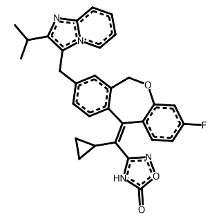 CC(C)c1nc2ccccn2c1Cc1ccc2c(c1)COc1cc(F)ccc1C2=C(c1noc(=O)[nH]1)C1CC1